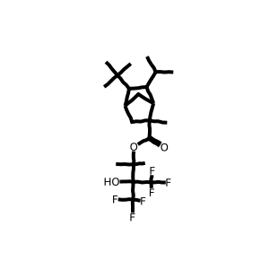 CC(C)C1C(C(C)(C)C)C2CC1C(C)(C(=O)OC(C)(C)C(O)(C(F)(F)F)C(F)(F)F)C2